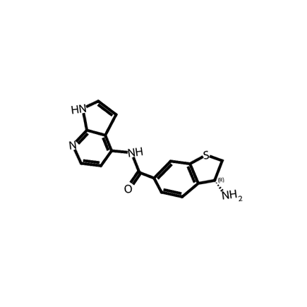 N[C@H]1CSc2cc(C(=O)Nc3ccnc4[nH]ccc34)ccc21